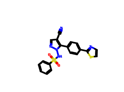 N#Cc1cnn(NS(=O)(=O)c2ccccc2)c1-c1ccc(-c2nccs2)cc1